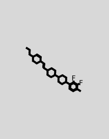 CCCC1C=CC(/C=C/C2CCC(C3CCC(c4ccc(C)c(F)c4F)CC3)CC2)CC1